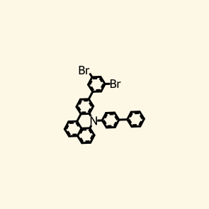 Brc1cc(Br)cc(-c2ccc3c(c2)N(c2ccc(-c4ccccc4)cc2)c2cccc4cccc-3c24)c1